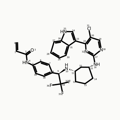 C=CC(=O)Nc1ccc([C@@H](N[C@H]2CCC[C@@H](Nc3ncc(Cl)c(-c4c[nH]c5ccccc45)n3)C2)C(F)(F)F)cc1